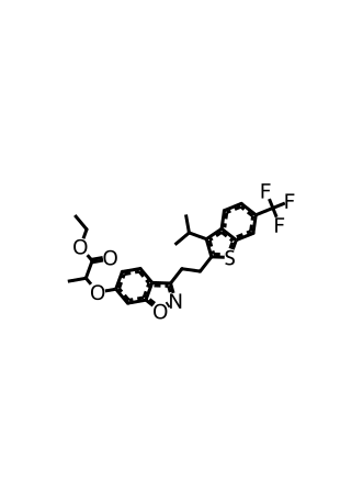 CCOC(=O)C(C)Oc1ccc2c(CCc3sc4cc(C(F)(F)F)ccc4c3C(C)C)noc2c1